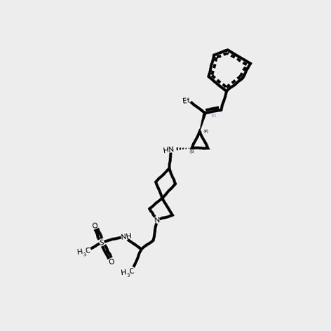 CC/C(=C\c1ccccc1)[C@H]1C[C@@H]1NC1CC2(C1)CN(CC(C)NS(C)(=O)=O)C2